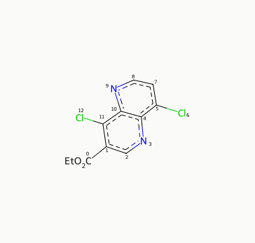 CCOC(=O)c1cnc2c(Cl)ccnc2c1Cl